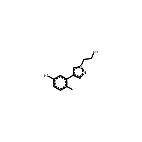 OCCn1cc(-c2cc(S)ccc2F)cn1